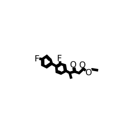 CCOC(=O)CC(=O)C(C)c1ccc(-c2ccc(F)cc2)c(F)c1